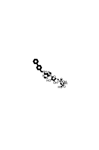 O=P(O)(O)CP(=O)(O)OC[C@H]1O[C@@H](n2cnc3c(NCc4ccc(-c5ccccc5)cc4)ncnc32)[C@H](O)[C@@H]1O